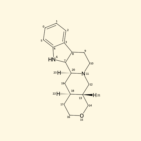 c1ccc2c(c1)NC1C2CCN2C[C@@H]3COCC[C@H]3C[C@@H]12